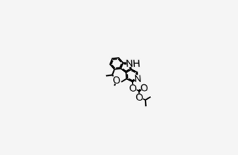 COC(C)c1cccc2[nH]c3cnc(OC(=O)OC(C)C)c(C)c3c12